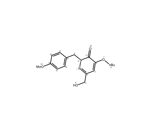 CCCCOc1cc(CO)nn(Cc2ccc(OC)cc2)c1=O